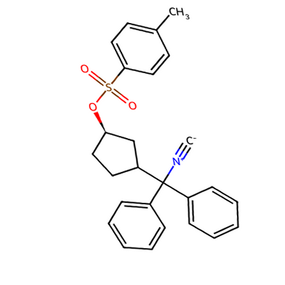 [C-]#[N+]C(c1ccccc1)(c1ccccc1)C1CC[C@@H](OS(=O)(=O)c2ccc(C)cc2)C1